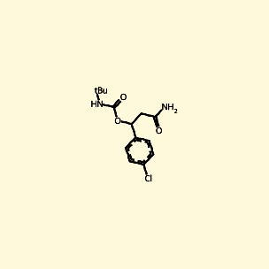 CC(C)(C)NC(=O)OC(CC(N)=O)c1ccc(Cl)cc1